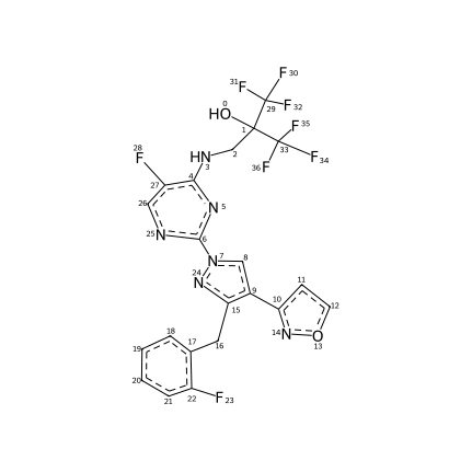 OC(CNc1nc(-n2cc(-c3ccon3)c(Cc3ccccc3F)n2)ncc1F)(C(F)(F)F)C(F)(F)F